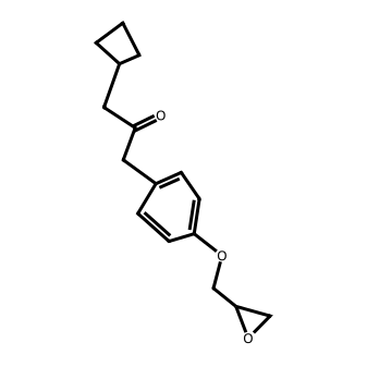 O=C(Cc1ccc(OCC2CO2)cc1)CC1CCC1